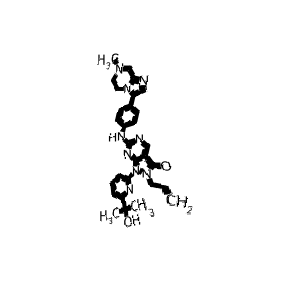 C=CCn1c(=O)c2cnc(Nc3ccc(-c4cnc5n4CCN(C)C5)cc3)nc2n1-c1cccc(C(C)(C)O)n1